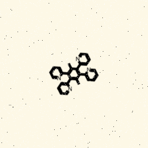 Cc1c(-c2ccccn2)c(-c2ccccn2)c(C)c(-c2ccccn2)c1-c1ccccn1